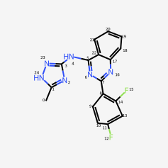 Cc1nc(Nc2nc(-c3ccc(F)cc3F)nc3ccccc23)n[nH]1